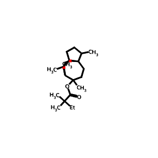 CCC(C)(C)C(=O)OC1(C)CCC23CCCC1C(C)(C)C2CCC3C